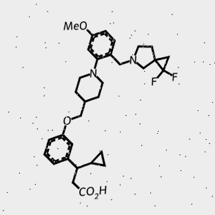 COc1ccc(CN2CCC3(C2)CC3(F)F)c(N2CCC(COc3cccc(C(CC(=O)O)C4CC4)c3)CC2)c1